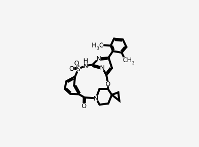 Cc1cccc(C)c1-c1cc2nc(n1)NS(=O)(=O)c1cccc(c1)C(=O)N1CCC3(CC3)C(C1)O2